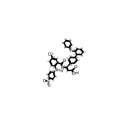 O=C(O)CC(NC(=O)c1cc(Cl)ccc1Nc1ccc([N+](=O)[O-])cc1)c1ccc(-c2ccccc2Oc2ccccc2)cc1